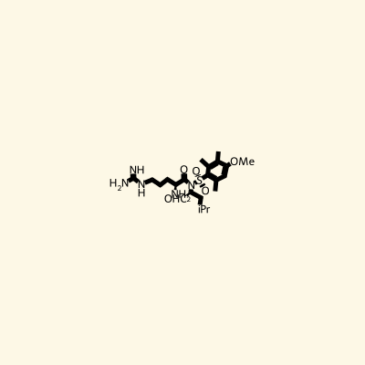 COc1cc(C)c(S(=O)(=O)N(C(=O)[C@@H](N)CCCNC(=N)N)[C@H](C=O)CC(C)C)c(C)c1C